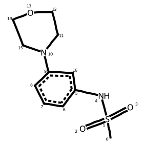 CS(=O)(=O)Nc1cccc(N2CCOCC2)c1